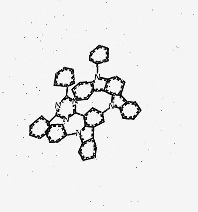 c1ccc(-c2nc(-c3ccccc3)nc(-c3cc(-n4c5ccccc5c5ccc6c(c7ccccc7n6-c6ccccc6)c54)cc4c5ccccc5n(-c5ccccc5)c34)n2)cc1